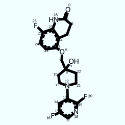 O=C1CCc2c(OCC3(O)CCN(c4cc(F)cnc4F)CC3)ccc(F)c2N1